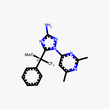 CO[C@@](c1ccccc1)(c1nc(N)nn1-c1cc(C)nc(C)n1)C(F)(F)F